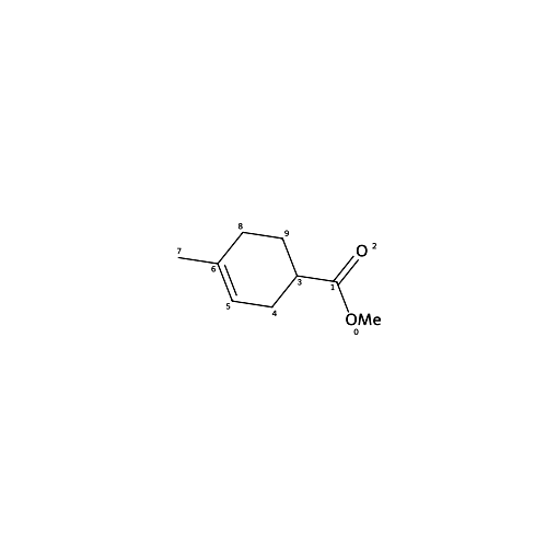 COC(=O)C1CC=C(C)CC1